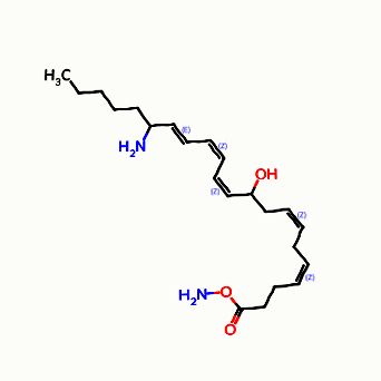 CCCCCC(N)/C=C/C=C\C=C/C(O)C/C=C\C/C=C\CCC(=O)ON